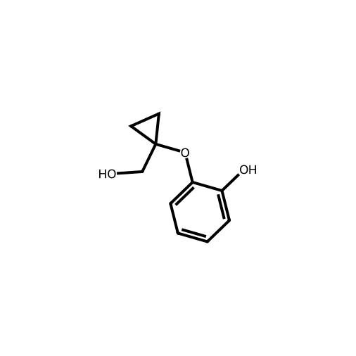 OCC1(Oc2ccccc2O)CC1